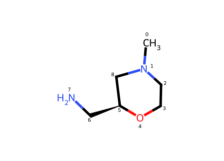 CN1CCO[C@@H](CN)C1